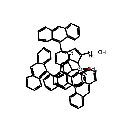 CCC1=Cc2c(-c3c4ccccc4cc4ccccc34)ccc(-c3c4ccccc4cc4ccccc34)c2[CH]1[Zr]([CH3])([CH3])(=[SiH2])[CH]1C(CC)=Cc2c(-c3c4ccccc4cc4ccccc34)ccc(-c3c4ccccc4cc4ccccc34)c21.Cl.Cl